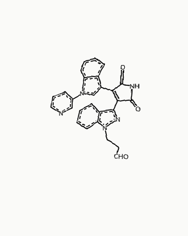 O=CCCn1nc(C2=C(c3cn(-c4cccnc4)c4ccccc34)C(=O)NC2=O)c2ccccc21